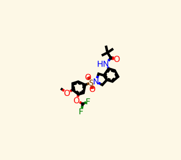 COc1ccc(S(=O)(=O)N2Cc3cccc(NC(=O)C(C)(C)C)c3C2)cc1OC(F)F